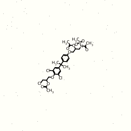 CC(=O)OC(CCl)COc1c(Cl)cc(C(C)(C)c2ccc(OCC(CN(C(C)=O)S(C)(=O)=O)OC(C)=O)cc2)cc1Cl